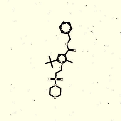 Cc1c(C(=O)OCc2ccccc2)cc(C(C)(C)C)n1CCS(=O)(=O)N1CCOCC1